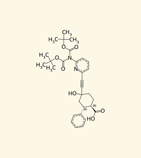 CC(C)(C)OC(=O)N(C(=O)OC(C)(C)C)c1cccc(C#CC2(O)CC[C@@H](C(=O)O)[C@H](c3ccccc3)C2)n1